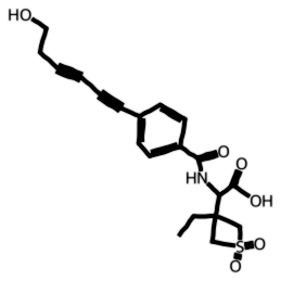 CCC1(C(NC(=O)c2ccc(C#CC#CCCO)cc2)C(=O)O)CS(=O)(=O)C1